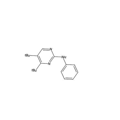 CC(C)(C)c1cnc(Nc2ccccc2)nc1C(C)(C)C